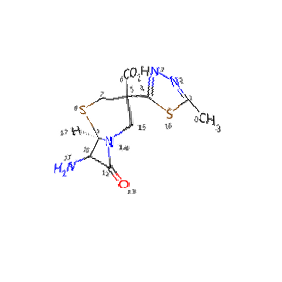 Cc1nnc(C2(C(=O)O)CS[C@@H]3C(N)C(=O)N3C2)s1